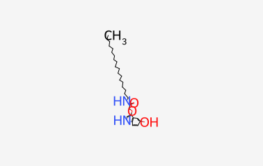 CCCCCCCCCCCCCCCCCCCNC(=O)COc1c[nH]c2ccc(O)cc12